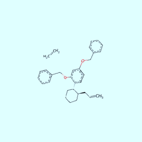 C=C.C=CC[C@H]1CCCC[C@@H]1c1ccc(OCc2ccccc2)cc1OCc1ccccc1